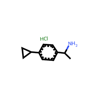 CC(N)c1ccc(C2CC2)cc1.Cl